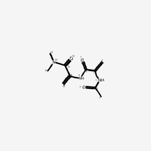 C=C(NC(C)=O)C(=O)NC(=C)C(=O)N(C)C